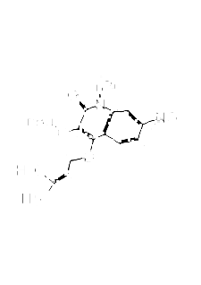 CCCCOc1c(OCC=C(C)C)c2ccc([N+](=O)[O-])cc2n(CCCC)c1=O